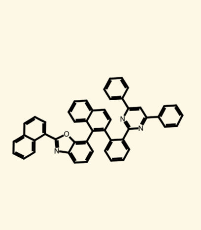 c1ccc(-c2cc(-c3ccccc3)nc(-c3ccccc3-c3ccc4ccccc4c3-c3cccc4nc(-c5cccc6ccccc56)oc34)n2)cc1